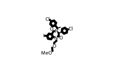 COCCOCCN1C(=O)[C@H](c2ccc(Cl)cc2)N([C@H](C)c2ccc(Cl)cc2)C(=O)c2cc(I)ccc21